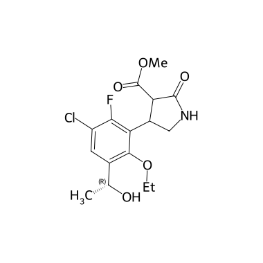 CCOc1c([C@@H](C)O)cc(Cl)c(F)c1C1CNC(=O)C1C(=O)OC